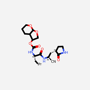 CC(C)C[C@H](NC(=O)OC1COC2OCCCC12)C(=O)N[C@H](C#N)C[C@@H]1CCNC1=O